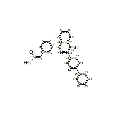 C/[N+]([O-])=C/c1cccc(-c2nn(-c3ccc(-c4ccccc4)cc3)c(=O)c3ccccc23)c1